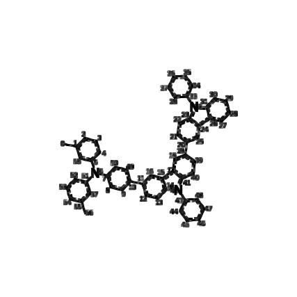 Cc1cccc(N(c2ccc(-c3ccc4c(c3)c3cc(-c5ccc6c(c5)c5ccccc5n6-c5ccccc5)ccc3n4-c3ccccc3)cc2)c2cccc(C)c2)c1